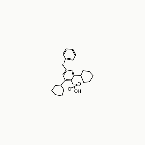 O=S(=O)(O)c1c(C2CCCCC2)cc(Sc2ccccc2)cc1C1CCCCC1